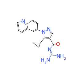 NC(N)=NC(=O)c1cnn(-c2ccc3ncccc3c2)c1C1CC1